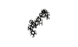 Cc1ccc(-n2ncc3c(=O)n(CC4(O)CCN(C(=O)C[C@H](C(F)F)n5cccn5)CC4)cnc32)cc1